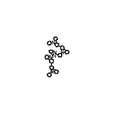 c1ccc(-n2c3ccccc3c3cc(-c4ccc5c(c4)c4ccccc4n5-c4nc(-c5cccc(-n6c7ccccc7c7ccc(-c8ccc9c(c8)c8ccccc8n9-c8ccccc8)cc76)c5)nc5ccccc45)ccc32)cc1